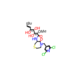 CO[C@@H](C(=O)NC1CSCCN(Cc2cc(Cl)nc(Cl)c2)C1=O)[C@H](O)[C@@H](O)[C@H](O)C=CC(C)(C)C